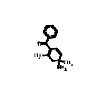 CC1=C(C(=O)c2ccccc2)C=CC(C)(N)C1